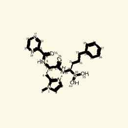 Cn1ccnc1C[C@H](NC(=O)c1cnccn1)C(=O)N[C@@H](CCCc1ccccc1)B(O)O